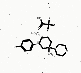 CC1(N2CCOCC2)CC[C@@H](C(=O)O)[C@H](c2ccc(Br)cc2)C1.O=C(O)C(F)(F)F